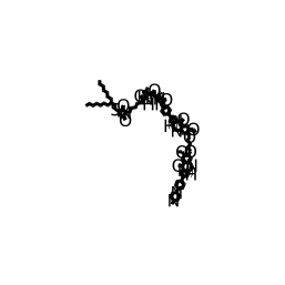 CCCCCCCC(CCCCCCC)CSC1CC(=O)N(CCCCCC(=O)N[C@H](C(=O)N[C@@H](C)C(=O)Nc2ccc(C3=CN4C(=O)c5cc(OC)c(OCCCOc6cc7c(cc6OC)C(=O)N6C=C(c8ccc(N9CCN(C)CC9)cc8)C[C@H]6C=N7)cc5N=C[C@@H]4C3)cc2)C(C)C)C1=O